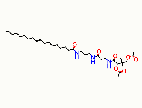 CCCCCCCCC=CCCCCCCCC(=O)NCCCNC(=O)CCNC(=O)C(OC(C)=O)C(C)(C)COC(C)=O